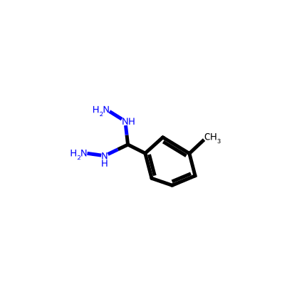 Cc1cccc(C(NN)NN)c1